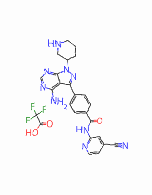 N#Cc1ccnc(NC(=O)c2ccc(-c3nn(C4CCCNC4)c4ncnc(N)c34)cc2)c1.O=C(O)C(F)(F)F